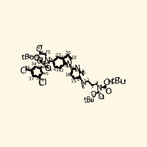 CN(CCCN(C(=O)OC(C)(C)C)C(=O)OC(C)(C)C)c1ccc(-n2ccc3cc(N(CC(=O)OC(C)(C)C)S(=O)(=O)c4cc(Cl)cc(Cl)c4)ccc32)nn1